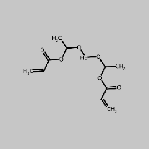 C=CC(=O)OC(C)OBOC(C)OC(=O)C=C